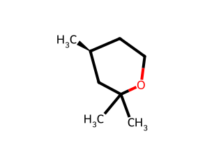 C[C@H]1CCOC(C)(C)C1